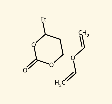 C=COC=C.CCC1CCOC(=O)O1